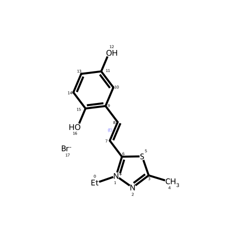 CC[n+]1nc(C)sc1/C=C/c1cc(O)ccc1O.[Br-]